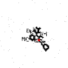 CCOc1ncc(C)c2c1[C@H](c1ccc(C#N)cc1OC)C(C(=O)OCc1ccccc1)=C(C)N2